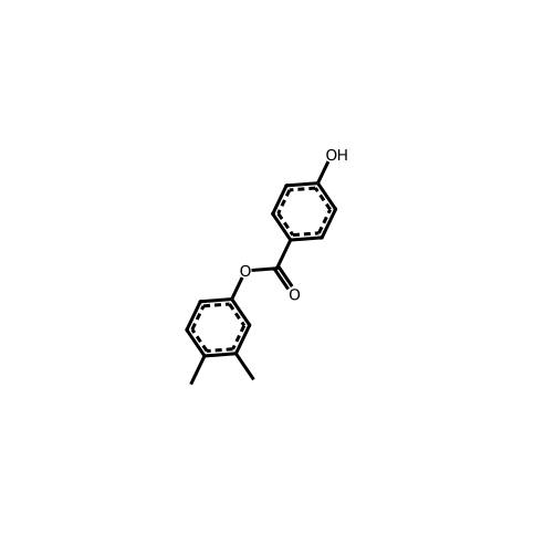 Cc1ccc(OC(=O)c2ccc(O)cc2)cc1C